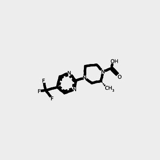 C[C@@H]1CN(c2ncc(C(F)(F)F)cn2)CCN1C(=O)O